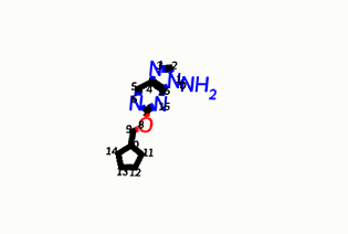 Nn1cnc2cnc(OCC3CCCC3)nc21